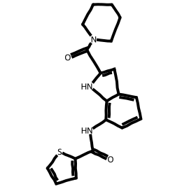 O=C(Nc1cccc2cc(C(=O)N3CCCCC3)[nH]c12)c1cccs1